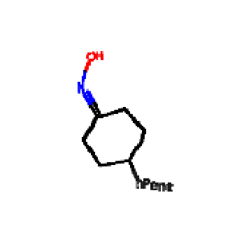 CCCCCC1CCC(=NO)CC1